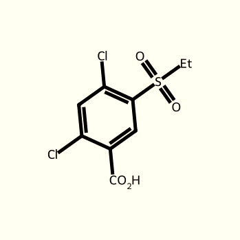 CCS(=O)(=O)c1cc(C(=O)O)c(Cl)cc1Cl